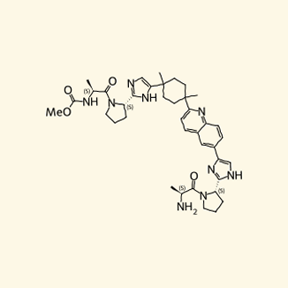 COC(=O)N[C@@H](C)C(=O)N1CCC[C@H]1c1ncc(C2(C)CCC(C)(c3ccc4cc(-c5c[nH]c([C@@H]6CCCN6C(=O)[C@H](C)N)n5)ccc4n3)CC2)[nH]1